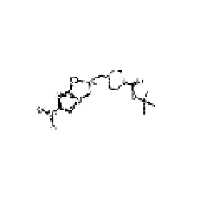 CC(C)(C)OC(=O)N1CCN(C[C@H]2Cn3cc([N+](=O)[O-])nc3O2)CC1